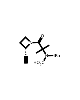 C#C[C@@H]1CCN1C(=O)C(C)(C)N(C(=O)O)C(C)(C)C